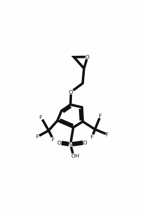 O=S(=O)(O)c1c(C(F)(F)F)cc(OCC2CO2)cc1C(F)(F)F